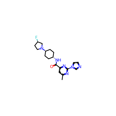 Cc1cc(C(=O)N[C@H]2CC[C@H](N3CC[C@@H](F)C3)CC2)nc(-n2ccnc2)n1